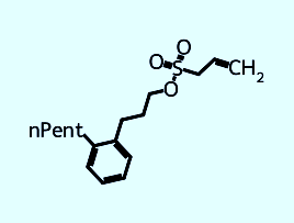 C=CCS(=O)(=O)OCCCc1ccccc1CCCCC